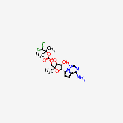 CC(C)(OC(=O)OC[C@@]1(C)O[C@@H](c2ccc3c(N)ncnn23)[C@H](O)[C@@H]1O)C(F)F